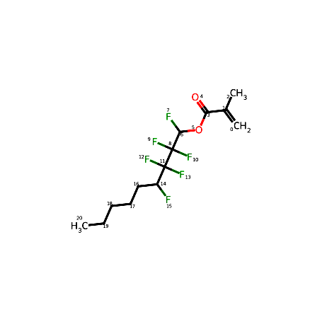 C=C(C)C(=O)OC(F)C(F)(F)C(F)(F)C(F)CCCCC